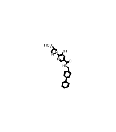 O=C(O)c1cnn(-c2ncc(C(=O)NCc3ccc(-c4ccccc4)cc3)cc2O)c1